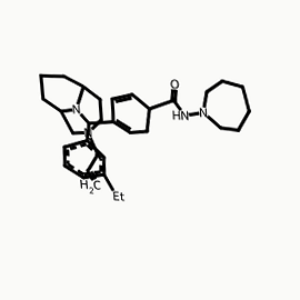 C=CCN1CCC2CCCC(C1)N2C(C1=CCC(C(=O)NN2CCCCCC2)C=C1)c1cccc(CC)c1